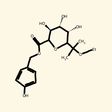 CCOC(C)(C)C1OC(C(=O)OCc2ccc(O)cc2)[C@@H](O)[C@H](O)[C@@H]1O